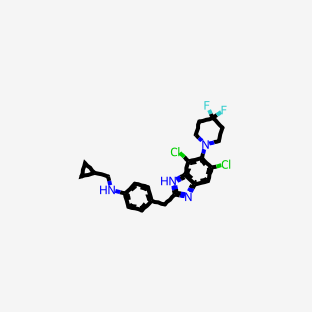 FC1(F)CCN(c2c(Cl)cc3nc(Cc4ccc(NCC5CC5)cc4)[nH]c3c2Cl)CC1